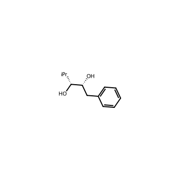 CC(C)[C@@H](O)[C@H](O)Cc1ccccc1